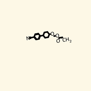 C=CC(=O)OCOC1CCC(c2ccc(C#N)cc2)CC1